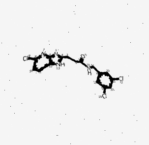 O=C(CCc1nc2nc(Cl)ccc2[nH]1)NCc1cc(Cl)cc(Cl)c1